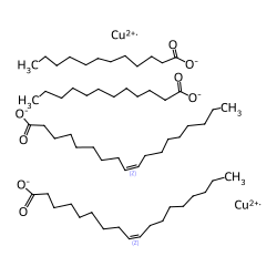 CCCCCCCC/C=C\CCCCCCCC(=O)[O-].CCCCCCCC/C=C\CCCCCCCC(=O)[O-].CCCCCCCCCCCC(=O)[O-].CCCCCCCCCCCC(=O)[O-].[Cu+2].[Cu+2]